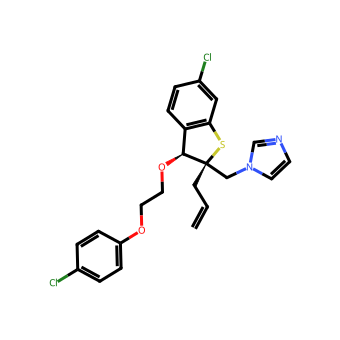 C=CC[C@]1(Cn2ccnc2)Sc2cc(Cl)ccc2[C@@H]1OCCOc1ccc(Cl)cc1